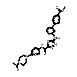 COC(=O)c1ccc(-c2cccc(Nc3nnc(C(=O)Nc4ccc(N5CCN(C(C)=O)CC5)cc4)o3)c2)cc1